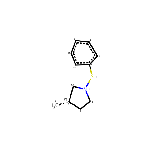 C[C@H]1CCN(Sc2ccccc2)C1